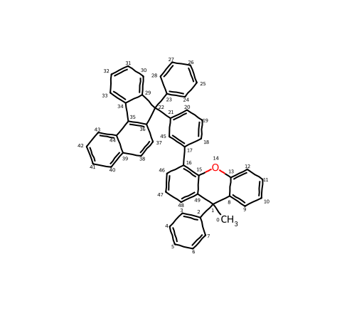 CC1(c2ccccc2)c2ccccc2Oc2c(-c3cccc(C4(c5ccccc5)c5ccccc5-c5c4ccc4ccccc54)c3)cccc21